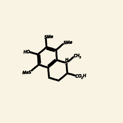 CSc1c(O)c(SC)c(SC)c2c1CCC(C(=O)O)[SH]2C